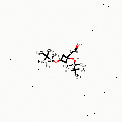 CC(C)(C)[Si](C)(C)OC1CC(CC=O)(O[Si](C)(C)C(C)(C)C)C1